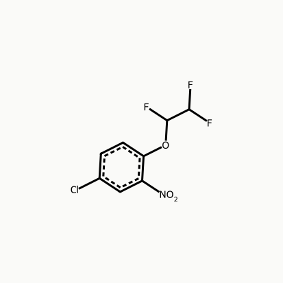 O=[N+]([O-])c1cc(Cl)ccc1OC(F)C(F)F